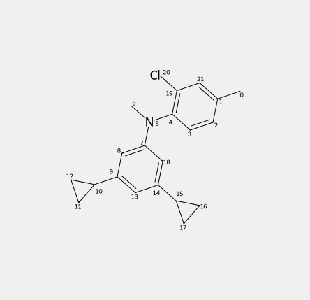 Cc1ccc(N(C)c2cc(C3CC3)cc(C3CC3)c2)c(Cl)c1